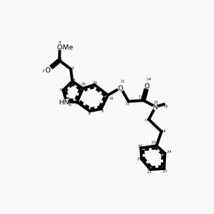 COC(=O)Cc1c[nH]c2ccc(OCC(=O)N(C)CCc3ccccc3)cc12